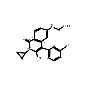 N#Cc1c(-c2cccc(F)c2)c2cc(OCC(=O)O)ccc2c(=O)n1C1CC1